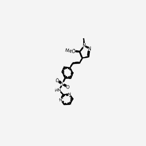 COC1C(/C=C/c2ccc(S(=O)(=O)Nc3ncccn3)cc2)C=NN1C